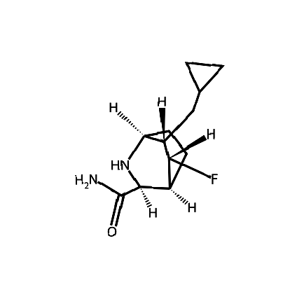 NC(=O)[C@H]1N[C@H]2CC[C@@H]1[C@@H](F)[C@H]2CC1CC1